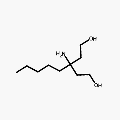 CCCCCC(N)(CCO)CCO